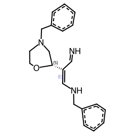 N=C/C(=C\NCc1ccccc1)[C@H]1CN(Cc2ccccc2)CCO1